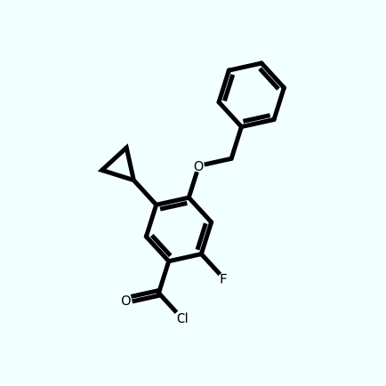 O=C(Cl)c1cc(C2CC2)c(OCc2ccccc2)cc1F